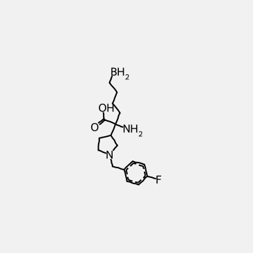 BCCCCC(N)(C(=O)O)C1CCN(Cc2ccc(F)cc2)C1